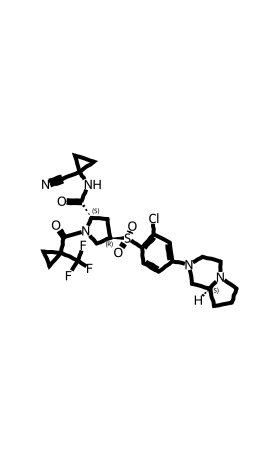 N#CC1(NC(=O)[C@@H]2C[C@@H](S(=O)(=O)c3ccc(N4CCN5CCC[C@H]5C4)cc3Cl)CN2C(=O)C2(C(F)(F)F)CC2)CC1